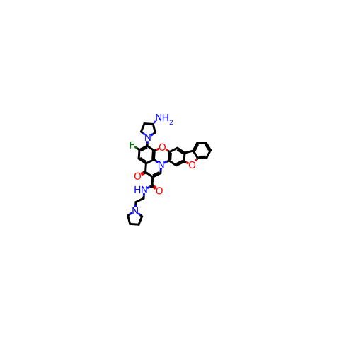 N[C@@H]1CCN(c2c(F)cc3c(=O)c(C(=O)NCCN4CCCC4)cn4c3c2Oc2cc3c(cc2-4)oc2ccccc23)C1